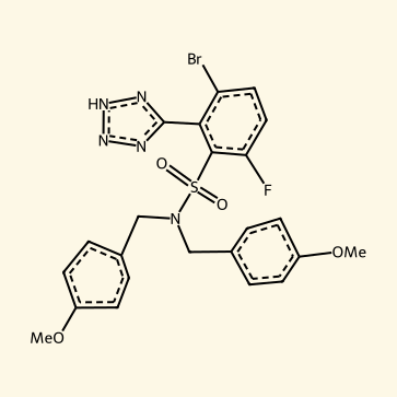 COc1ccc(CN(Cc2ccc(OC)cc2)S(=O)(=O)c2c(F)ccc(Br)c2-c2nn[nH]n2)cc1